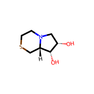 O[C@H]1[C@@H](O)CN2CCSC[C@@H]12